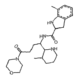 Cc1cccc2c1NC(C(=O)NC(CCC(=O)N1CCOCC1)C1NCCCC1C)C2